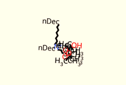 CCCCCCCCCCCCCCCCCC[N+](C)(CCCCCCCCCC)CCC[Si]1(OC(C)(C)C(C)(C)O)OC(C)(C)C(C)(C)O1